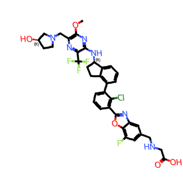 COc1nc(N[C@@H]2CCc3c(-c4cccc(-c5nc6cc(CNCC(=O)O)cc(F)c6o5)c4Cl)cccc32)c(C(F)(F)F)nc1CN1CC[C@@H](O)C1